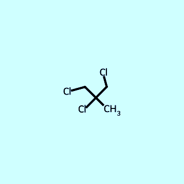 CC(Cl)(CCl)CCl